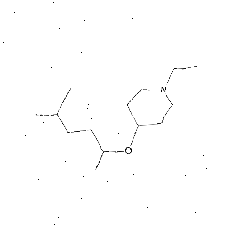 CCN1CCC(OC(C)CCC(C)C)CC1